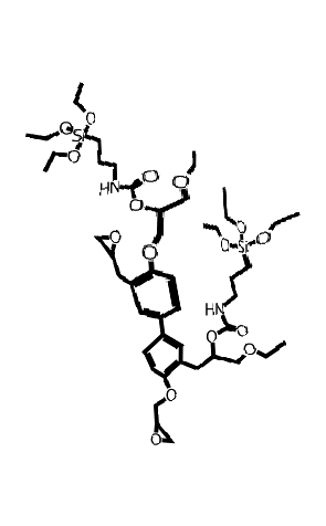 CCOCC(COc1ccc(-c2ccc(OCC3CO3)c(CC(COCC)OC(=O)NCCC[Si](OCC)(OCC)OCC)c2)cc1CC1CO1)OC(=O)NCCC[Si](OCC)(OCC)OCC